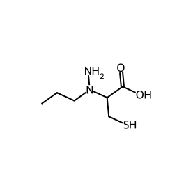 CCCN(N)C(CS)C(=O)O